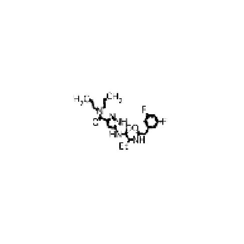 C=CCN(CC=C)C(=O)c1cc(NC(=O)C(CC)NC(=O)Cc2cc(F)cc(F)c2)[nH]n1